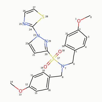 COc1ccc(CN(Cc2ccc(OC)cc2)S(=O)(=O)c2ccn(-c3nccs3)n2)cc1